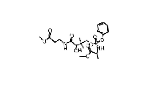 COC(=O)CCNC(=O)C(O)C(C)(C)COP(=O)(NC(C)C(=O)OC)Oc1ccccc1